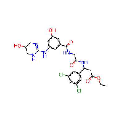 CCOC(=O)CC(NC(=O)CNC(=O)c1cc(O)cc(NC2=NCC(O)CN2)c1)c1cc(Cl)cc(Cl)c1